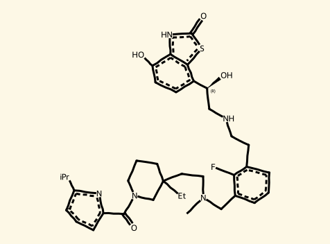 CCC1(CCN(C)Cc2cccc(CCNC[C@H](O)c3ccc(O)c4[nH]c(=O)sc34)c2F)CCCN(C(=O)c2cccc(C(C)C)n2)C1